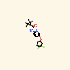 CC1(C)C(C(=O)Nc2ccc(Oc3ccc(F)c(F)c3)cn2)C1(C)C